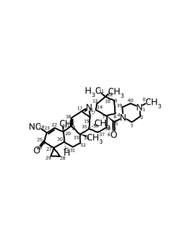 CN1CCN(C(=O)[C@]23CCC(C)(C)CC2[C@@]24N=C2C=C2[C@@]5(C)C=C(C#N)C(=O)C6(CC6)[C@@H]5CC[C@@]2(C)[C@]4(C)CC3)CC1